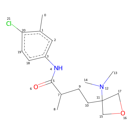 Cc1cc(NC(=O)C(C)CCC2(N(C)C)COC2)ccc1Cl